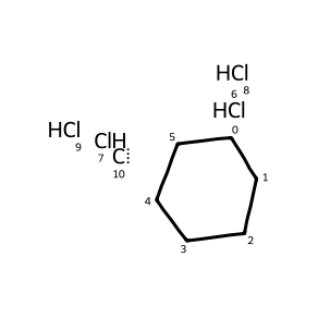 C1CCCCC1.Cl.Cl.Cl.Cl.[C]